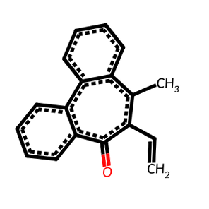 C=Cc1c(C)c2ccccc2c2ccccc2c1=O